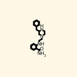 NC(=O)c1ccccc1NCCN1CCNC(Cc2ccccc2)C1